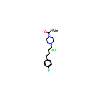 CNC(=O)N1CCN(CCCCc2ccc(F)cc2)CC1.Cl